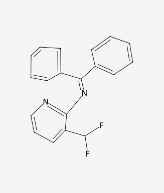 FC(F)c1cccnc1N=C(c1ccccc1)c1ccccc1